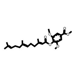 COC(=O)c1cc(OC)c(OC(=O)/C=C(\C)CC/C=C(\C)CCC=C(C)C)c(OC)c1